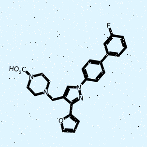 O=C(O)N1CCN(Cc2cn(-c3ccc(-c4cccc(F)c4)cc3)nc2-c2ccco2)CC1